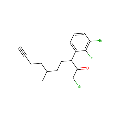 C#CCCC(C)CCC(C(=O)CBr)c1cccc(Br)c1F